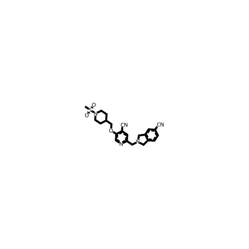 CS(=O)(=O)N1CCC(COc2cnc(CN3Cc4ccc(C#N)cc4C3)cc2C#N)CC1